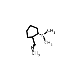 C/N=C/C1CCCC[C@@H]1N(C)C